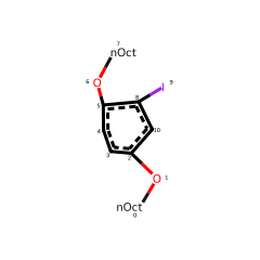 CCCCCCCCOc1ccc(OCCCCCCCC)c(I)c1